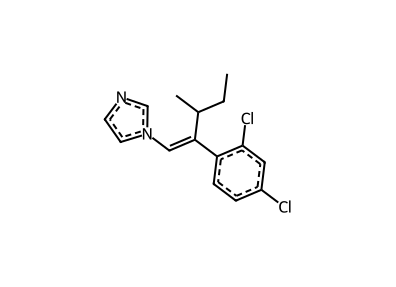 CCC(C)C(=Cn1ccnc1)c1ccc(Cl)cc1Cl